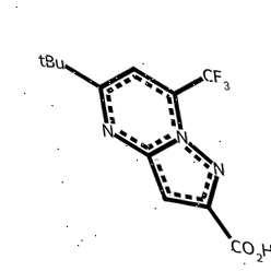 CC(C)(C)c1cc(C(F)(F)F)n2nc(C(=O)O)cc2n1